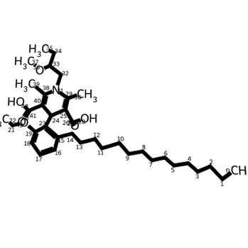 CCCCCCCCCCCCCCCc1cccc(OCC)c1C1C(C(=O)O)=C(C)N(CC(CC)OC)C(C)=C1C(=O)O